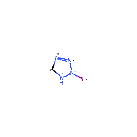 IN1N=NCN1